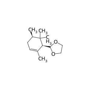 CC1=CC[C@@H](C)C(C)(C)[C@H]1C1OCCO1